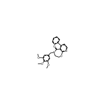 COc1cc(CN2CCOc3nccc(-c4ccccc4)c3C2=O)cc(OC)c1OC